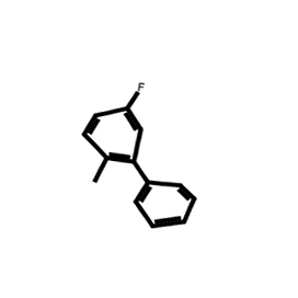 Cc1ccc(F)cc1-c1ccccc1